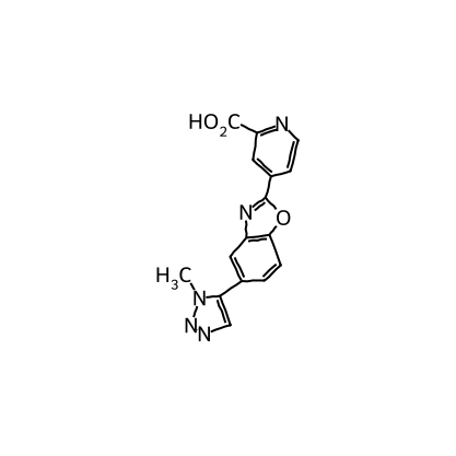 Cn1nncc1-c1ccc2oc(-c3ccnc(C(=O)O)c3)nc2c1